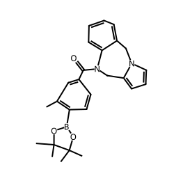 Cc1cc(C(=O)N2Cc3cccn3Cc3ccccc32)ccc1B1OC(C)(C)C(C)(C)O1